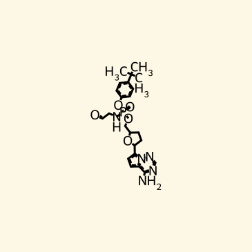 CC(C)(C)c1ccc(OP(=O)(NCC=O)OCC2CCC(c3ccc4c(N)ncnn34)O2)cc1